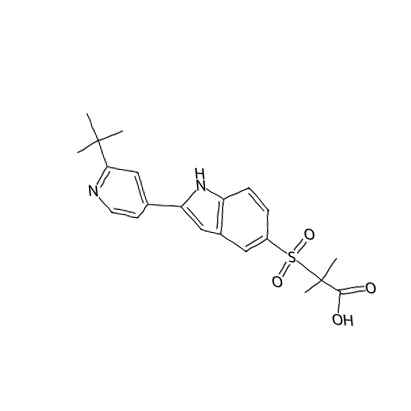 CC(C)(C)c1cc(-c2cc3cc(S(=O)(=O)C(C)(C)C(=O)O)ccc3[nH]2)ccn1